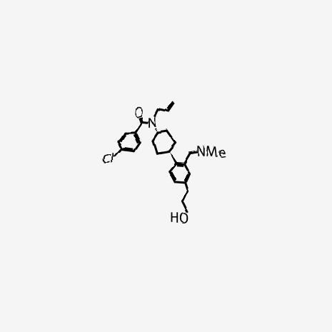 C=CCN(C(=O)c1ccc(Cl)cc1)[C@H]1CC[C@H](c2ccc(CCCO)cc2CNC)CC1